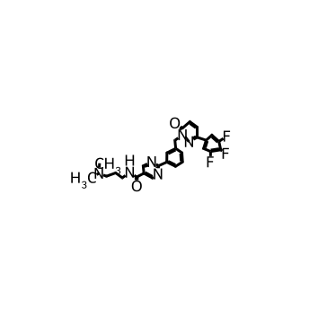 CN(C)CCCNC(=O)c1cnc(-c2cccc(Cn3nc(-c4cc(F)c(F)c(F)c4)ccc3=O)c2)nc1